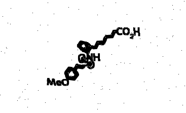 COc1ccc(C=CS(=O)(=O)NC2C3C=CC(C3)C2CC=CCCCC(=O)O)cc1